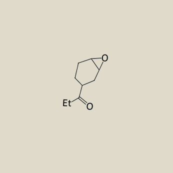 CCC(=O)C1CCC2OC2C1